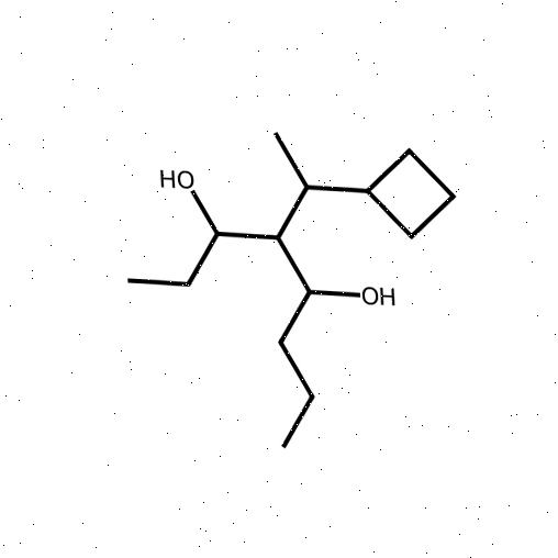 CCCC(O)C(C(O)CC)C(C)C1CCC1